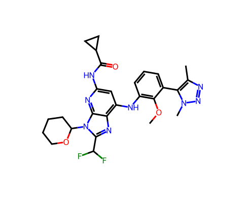 COc1c(Nc2cc(NC(=O)C3CC3)nc3c2nc(C(F)F)n3C2CCCCO2)cccc1-c1c(C)nnn1C